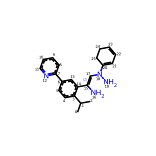 CC(C)c1ccc(-c2ccccn2)cc1/C(N)=C/N(N)C1=CC=CCC1